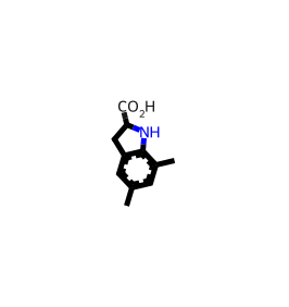 Cc1cc(C)c2c(c1)CC(C(=O)O)N2